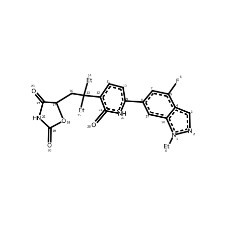 CCn1ncc2c(F)cc(-c3ccc(C(CC)(CC)CC4OC(=O)NC4=O)c(=O)[nH]3)cc21